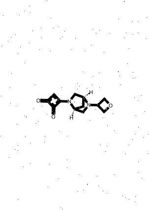 O=c1cc(N2C[C@@H]3C[C@H]2CN3C2COC2)c1=O